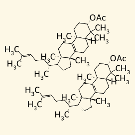 CC(=O)O[C@H]1CC[C@]2(C)C3=C(CC[C@H]2C1(C)C)[C@]1(C)CC[C@H]([C@H](C)CCC=C(C)C)[C@@]1(C)CC3.CC(=O)O[C@H]1CC[C@]2(C)C3=C(CC[C@H]2C1(C)C)[C@]1(C)CC[C@H]([C@H](C)CCC=C(C)C)[C@@]1(C)CC3